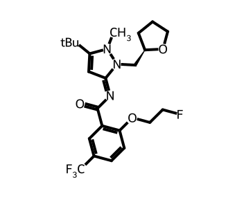 Cn1c(C(C)(C)C)c/c(=N\C(=O)c2cc(C(F)(F)F)ccc2OCCF)n1C[C@H]1CCCO1